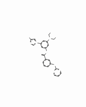 CCN(CC)c1cc(NC(=O)c2cccc(Bc3ncccn3)c2)cc(-n2cnc(C)c2)c1